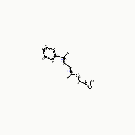 C/C(=C\C=C(/C)c1ccccc1)OCC1CO1